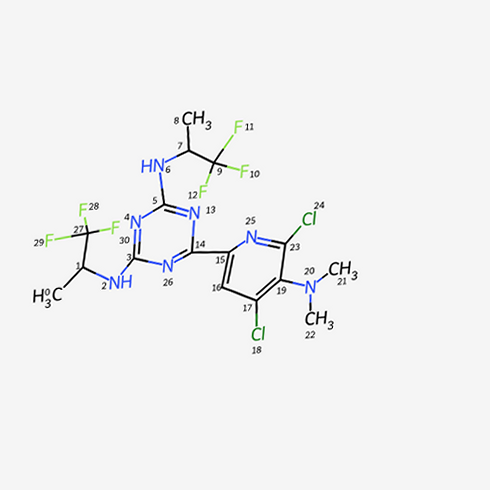 CC(Nc1nc(NC(C)C(F)(F)F)nc(-c2cc(Cl)c(N(C)C)c(Cl)n2)n1)C(F)(F)F